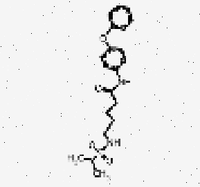 CC(C)S(=O)(=O)NCCCCC(=O)Nc1ccc(Oc2ccccc2)cc1